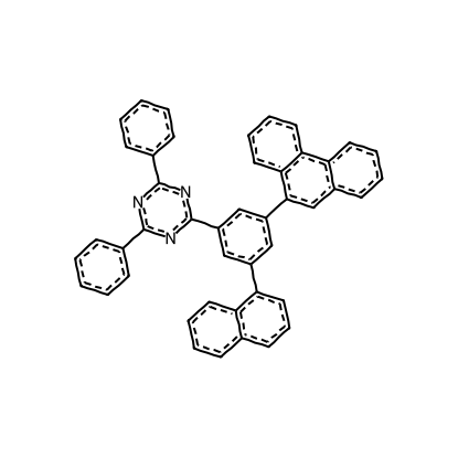 c1ccc(-c2nc(-c3ccccc3)nc(-c3cc(-c4cccc5ccccc45)cc(-c4cc5ccccc5c5ccccc45)c3)n2)cc1